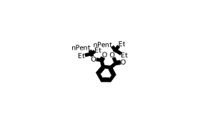 CCCCCC(CC)(CC)OC(=O)c1ccccc1C(=O)OC(CC)(CC)CCCCC